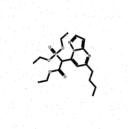 CCCCc1cc(C(C(=O)OCC)P(=O)(OCC)OCC)n2nccc2n1